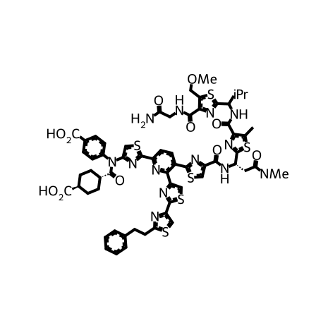 CNC(=O)C[C@H](NC(=O)c1csc(-c2ccc(-c3nc(N(c4ccc(C(=O)O)cc4)C(=O)[C@H]4CC[C@H](C(=O)O)CC4)cs3)nc2-c2csc(-c3csc(CCc4ccccc4)n3)n2)n1)c1nc(C(=O)NC(c2nc(C(=O)NCC(N)=O)c(COC)s2)C(C)C)c(C)s1